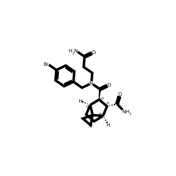 NC(=O)CCN(Cc1ccc(Br)cc1)C(=O)[C@H]1[C@H](C(N)=O)[C@H]2CC[C@@H]1C21CC1